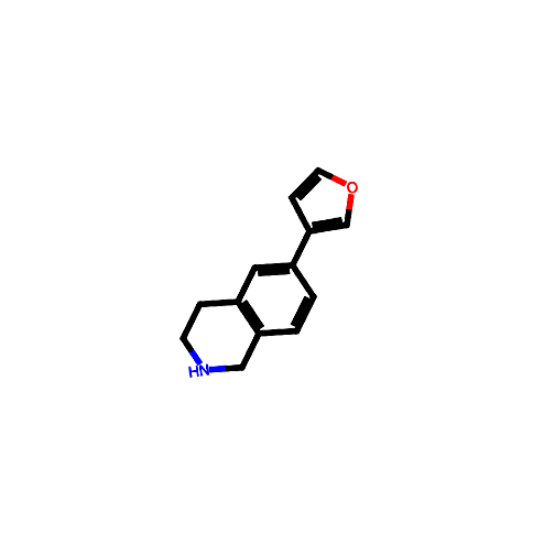 c1cc(-c2ccc3c(c2)CCNC3)co1